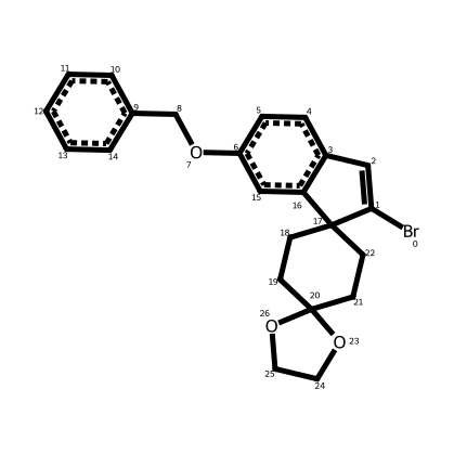 BrC1=Cc2ccc(OCc3ccccc3)cc2C12CCC1(CC2)OCCO1